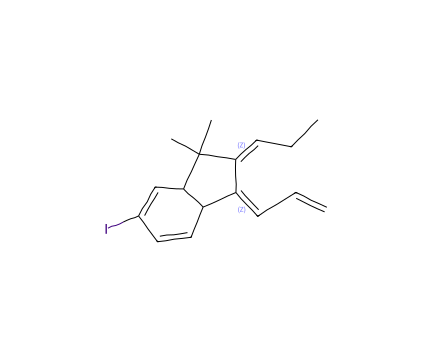 C=C/C=C1\C(=C/CC)C(C)(C)C2C=C(I)C=CC12